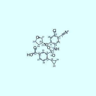 N#Cc1cc(NS(=O)(=O)c2cc(C(=O)O)ccc2C2CC2)c(O[C@H]2CCOC2)cc1Cl